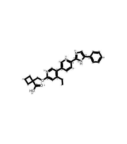 CCc1cc(OCC2(C(=O)O)CCC2)ncc1-c1ccc(-c2ncc(-c3ccccc3)[nH]2)nc1